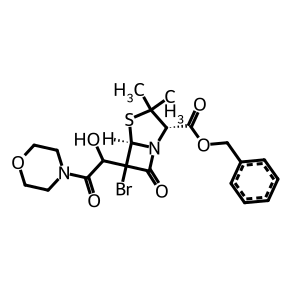 CC1(C)S[C@H]2N(C(=O)C2(Br)C(O)C(=O)N2CCOCC2)[C@H]1C(=O)OCc1ccccc1